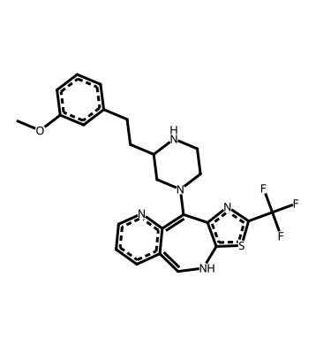 COc1cccc(CCC2CN(C3=c4ncccc4=CNc4sc(C(F)(F)F)nc43)CCN2)c1